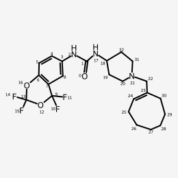 O=C(Nc1ccc2c(c1)C(F)(F)OC(F)(F)O2)NC1CCN(C/C2=C/CCCCCC2)CC1